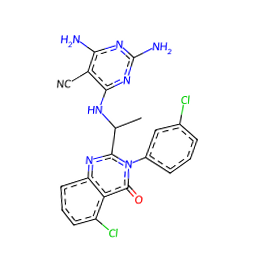 CC(Nc1nc(N)nc(N)c1C#N)c1nc2cccc(Cl)c2c(=O)n1-c1cccc(Cl)c1